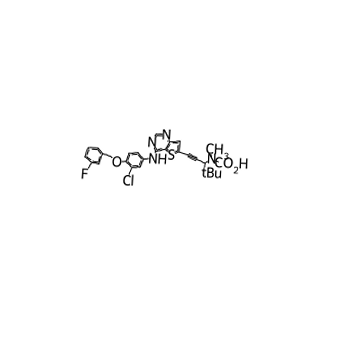 CN(C(=O)O)C(C#Cc1cc2ncnc(Nc3ccc(OCc4cccc(F)c4)c(Cl)c3)c2s1)C(C)(C)C